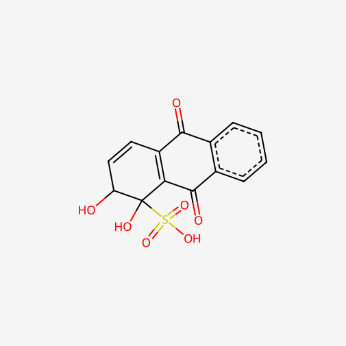 O=C1C2=C(C(=O)c3ccccc31)C(O)(S(=O)(=O)O)C(O)C=C2